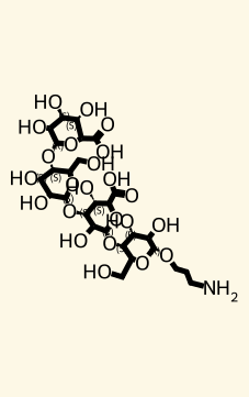 NCCCO[C@@H]1OC(CO)[C@@H](O[C@@H]2OC(C(=O)O)[C@@H](O)[C@H](O[C@@H]3OC(CO)[C@@H](O[C@@H]4OC(C(=O)O)[C@@H](O)[C@H](O)C4O)[C@H](O)C3O)C2O)[C@H](O)C1O